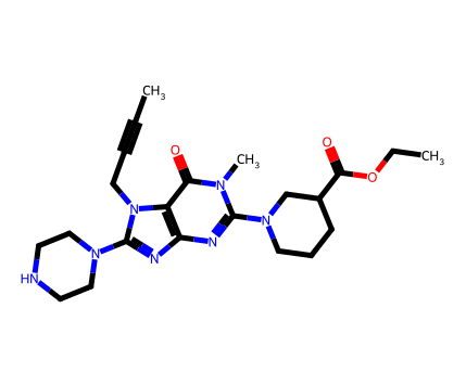 CC#CCn1c(N2CCNCC2)nc2nc(N3CCCC(C(=O)OCC)C3)n(C)c(=O)c21